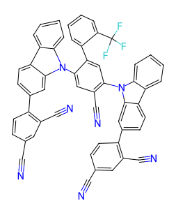 N#Cc1ccc(-c2ccc3c4ccccc4n(-c4cc(-c5ccccc5C(F)(F)F)c(-n5c6ccccc6c6ccc(-c7ccc(C#N)cc7C#N)cc65)cc4C#N)c3c2)c(C#N)c1